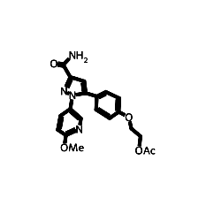 COc1ccc(-n2nc(C(N)=O)cc2-c2ccc(OCCOC(C)=O)cc2)cn1